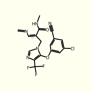 C=N/C=C(/Cn1cnc(C(F)(F)F)c1Oc1cc(Cl)cc(C#N)c1)C(=O)NC